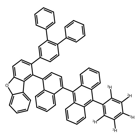 [2H]c1c([2H])c([2H])c(-c2c3ccccc3c(-c3ccc(-c4c(-c5ccc(-c6ccccc6)c(-c6ccccc6)c5)ccc5oc6ccccc6c45)c4ccccc34)c3ccccc23)c([2H])c1[2H]